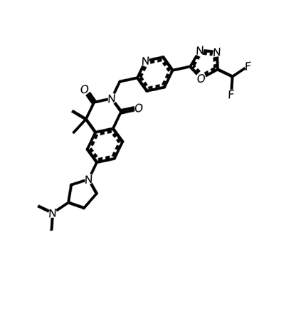 CN(C)C1CCN(c2ccc3c(c2)C(C)(C)C(=O)N(Cc2ccc(-c4nnc(C(F)F)o4)cn2)C3=O)C1